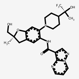 C[C@@]1(CO)Cc2cc(NC(=O)c3cnn4cccnc34)c(N3CCC([C@](C)(O)C(F)(F)F)CC3)cc2O1